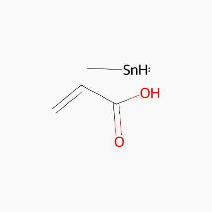 C=CC(=O)O.[CH3][SnH]